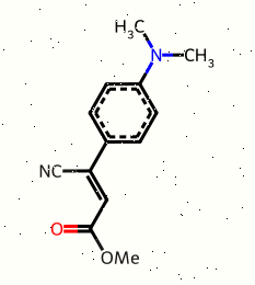 COC(=O)C=C(C#N)c1ccc(N(C)C)cc1